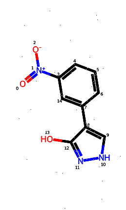 O=[N+]([O-])c1cccc(-c2c[nH]nc2O)c1